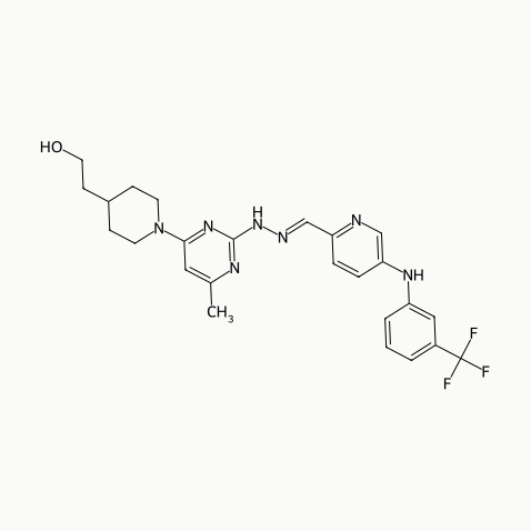 Cc1cc(N2CCC(CCO)CC2)nc(N/N=C/c2ccc(Nc3cccc(C(F)(F)F)c3)cn2)n1